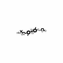 CCCCC(C)(C)C(O)CCc1ccc(C(CC)(CC)c2ccc(OC[C@@H]3CCC(=O)O3)c(C)c2)cc1C